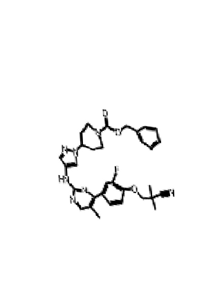 Cc1cnc(Nc2cnn(C3CCN(C(=O)OCc4ccccc4)CC3)c2)nc1-c1ccc(OCC(C)(C)C#N)c(F)c1